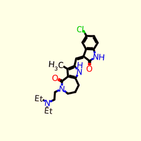 CCN(CC)CCN1CCCc2[nH]c(C=C3C(=O)Nc4ccc(Cl)cc43)c(C)c2C1=O